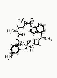 CCCS(=O)(=O)N[C@H]1C[C@@H](N(C)c2ncnc3c2ccn3C(=O)N(C)CCN(C)C(=O)OCc2ccc(N)cc2)C1